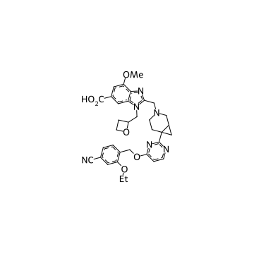 CCOc1cc(C#N)ccc1COc1ccnc(C23CCN(Cc4nc5c(OC)cc(C(=O)O)cc5n4CC4CCO4)CC2C3)n1